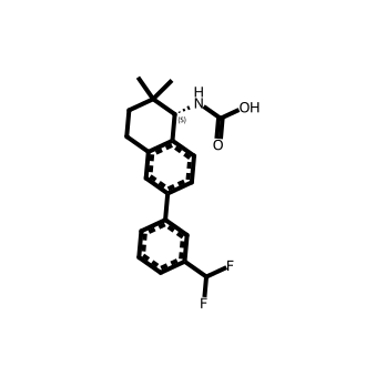 CC1(C)CCc2cc(-c3cccc(C(F)F)c3)ccc2[C@H]1NC(=O)O